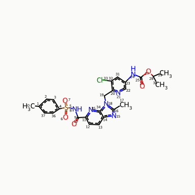 Cc1ccc(S(=O)(=O)NC(=O)c2ccc3nc(C)n(Cc4ncc(NC(=O)OC(C)C)cc4Cl)c3n2)cc1